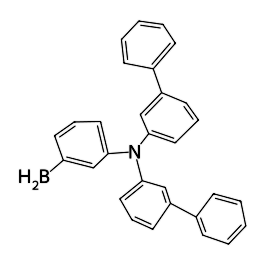 Bc1cccc(N(c2cccc(-c3ccccc3)c2)c2cccc(-c3ccccc3)c2)c1